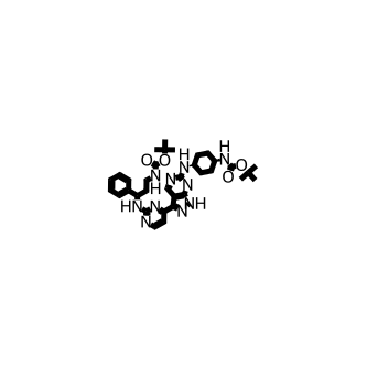 CC(C)(C)OC(=O)NCCC(Nc1nccc(-c2n[nH]c3nc(N[C@H]4CC[C@H](NC(=O)OC(C)(C)C)CC4)ncc23)n1)c1ccccc1